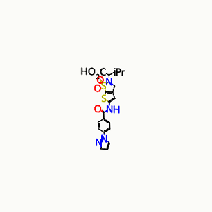 CC(C)C(C(=O)O)N1Cc2cc(NC(=O)c3ccc(-n4cccn4)cc3)sc2S1(=O)=O